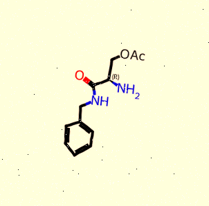 CC(=O)OC[C@@H](N)C(=O)NCc1ccccc1